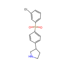 CCc1cccc(S(=O)(=O)c2ccc(C3CCNC3)cc2)c1